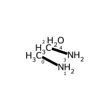 CN.CN.O